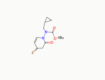 CC(C)(C)OC(=O)N(CC1CC1)N1C=CC(=S)CC1=O